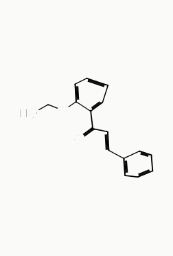 O=C(C=Cc1ccccc1)c1ccccc1OCO